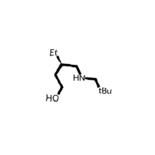 CC[C@H](CCO)CNCC(C)(C)C